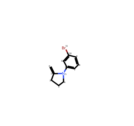 C=C1CCCN1c1cccc(Br)c1